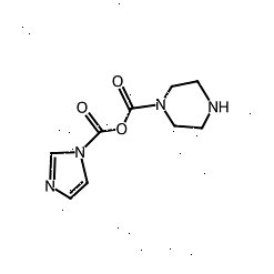 O=C(OC(=O)n1ccnc1)N1CCNCC1